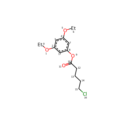 CCOc1cc(OCC)cc(OC(=O)CCCCCl)c1